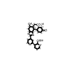 COc1ncccc1-c1cc(-c2nc3cc(C)c(CC(=O)O)c(-c4ccc(Cl)cc4)c3s2)ccn1